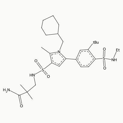 CCNS(=O)(=O)c1ccc(-c2cc(S(=O)(=O)NCC(C)(C)C(N)=O)c(C)n2CC2CCCCC2)cc1C(C)(C)C